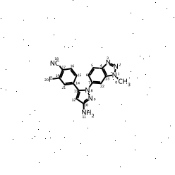 Cn1nnc2ccc(-n3nc(N)cc3-c3ccc(C#N)c(F)c3)cc21